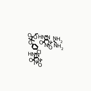 CCOC(=O)C(C)(C)Oc1ccc(Cl)cc1.Cn1c(=O)c2[nH]cnc2n(C)c1=O.Cn1c(=O)c2[nH]cnc2n(C)c1=O.NCCN